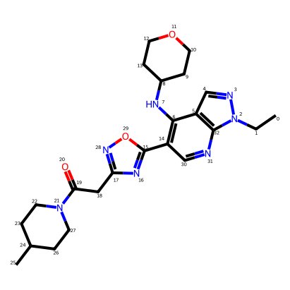 CCn1ncc2c(NC3CCOCC3)c(-c3nc(CC(=O)N4CCC(C)CC4)no3)cnc21